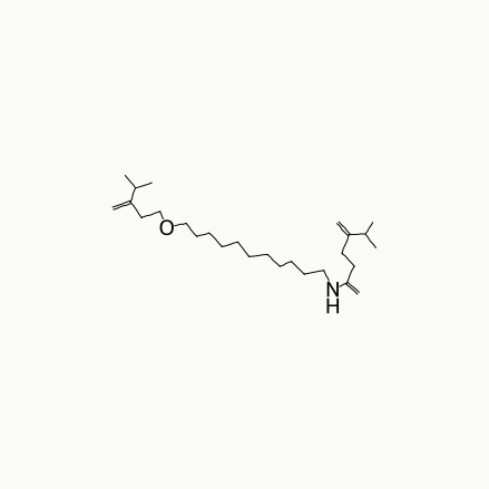 C=C(CCC(=C)C(C)C)NCCCCCCCCCCCOCCC(=C)C(C)C